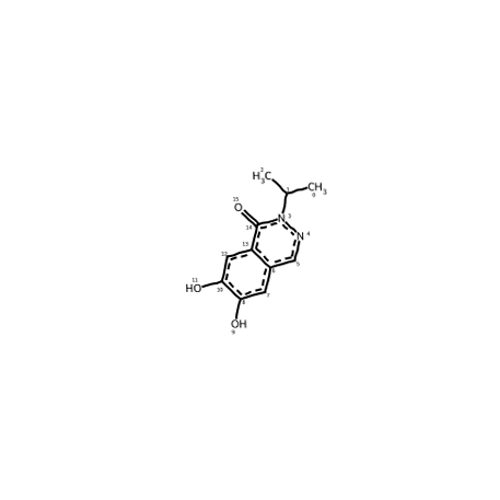 CC(C)n1ncc2cc(O)c(O)cc2c1=O